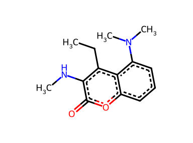 CCc1c(NC)c(=O)oc2cccc(N(C)C)c12